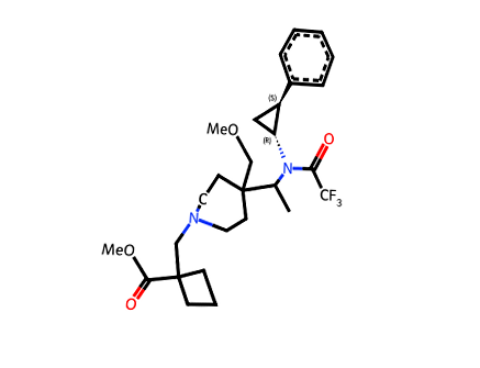 COCC1(C(C)N(C(=O)C(F)(F)F)[C@@H]2C[C@H]2c2ccccc2)CCN(CC2(C(=O)OC)CCC2)CC1